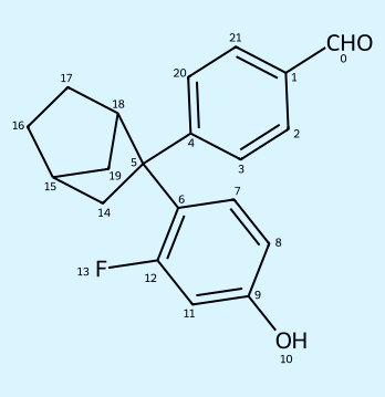 O=Cc1ccc(C2(c3ccc(O)cc3F)CC3CCC2C3)cc1